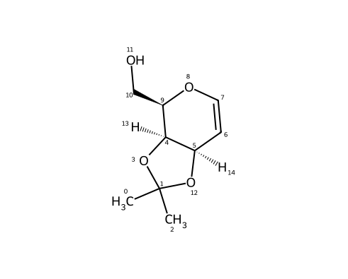 CC1(C)O[C@@H]2[C@@H](C=CO[C@@H]2CO)O1